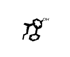 CCC=C(C)c1ccc(O)cc1-c1ccccc1